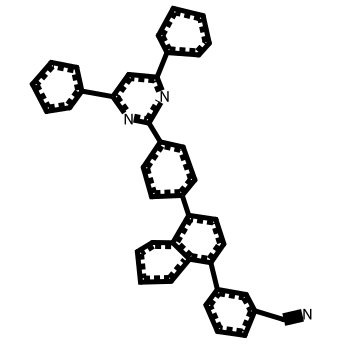 N#Cc1cccc(-c2ccc(-c3ccc(-c4nc(-c5ccccc5)cc(-c5ccccc5)n4)cc3)c3ccccc23)c1